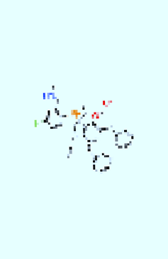 CCCCCC(CC)(Pc1ccc(F)cc1CNC)c1cc(Cc2ccccc2)cc(Cc2ccccc2)c1OCOC